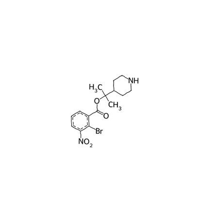 CC(C)(OC(=O)c1cccc([N+](=O)[O-])c1Br)C1CCNCC1